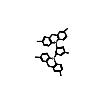 Cc1cc(N2c3ccc(C)cc3Cc3cc(C)ccc32)cc(N2c3ccc(C)cc3Cc3cc(C)ccc32)c1